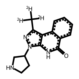 [2H]C([2H])([2H])c1nn(C2CCNC2)c2[nH]c(=O)c3ccccc3c12